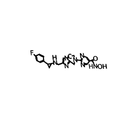 O=C(NO)c1cnc(N2CCn3cc(CNC4CC4c4ccc(F)cc4)nc3C2)nc1